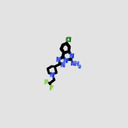 Nc1nc2cc(Cl)ccc2c2nc(C3CCCN(CC(F)F)C3)nn12